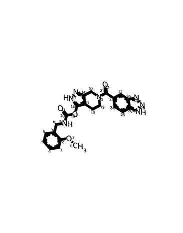 COc1ccccc1CNC(=O)Oc1[nH]nc2c1CCN(C(=O)c1ccc3[nH]nnc3c1)C2